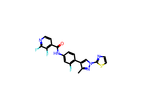 Cc1nn(-c2nccs2)cc1-c1ccc(NC(=O)c2ccnc(F)c2F)cc1F